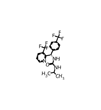 CC(C)NC(=O)N[C@@H](c1ccc(C(F)(F)F)cc1)c1ncccc1C(F)(F)F